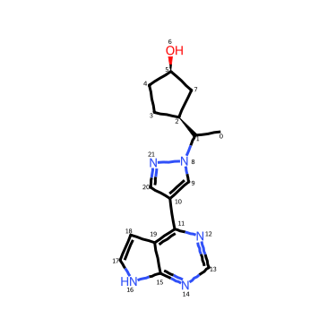 CC([C@H]1CC[C@@H](O)C1)n1cc(-c2ncnc3[nH]ccc23)cn1